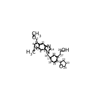 COCc1cn(C)c2cc3c(cc12)ncn3Cc1ccc([C@@H]2CCCO2)c(CCO)c1